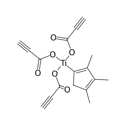 C#CC(=O)[O][Ti]([O]C(=O)C#C)([O]C(=O)C#C)[C]1=C(C)C(C)=C(C)C1